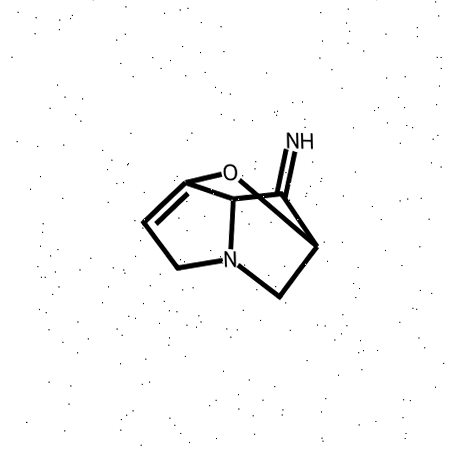 N=C1C2CN3CC=C(O2)C13